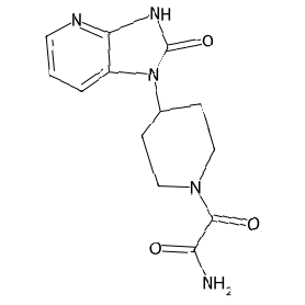 NC(=O)C(=O)N1CCC(n2c(=O)[nH]c3ncccc32)CC1